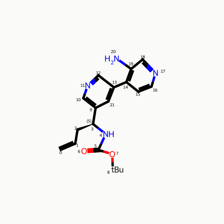 C=CC[C@H](NC(=O)OC(C)(C)C)c1cncc(-c2ccncc2N)c1